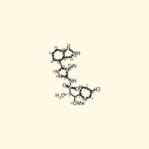 CO[C@H](c1ncc(Cl)cn1)[C@H](C)S(=O)(=O)Nc1nnc(-c2cccc3n[nH]cc23)n1C(C)C